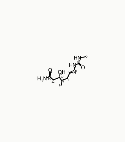 CNC(=O)N/N=C/C[C@@H](C)[C@@H](O)CC(N)=O